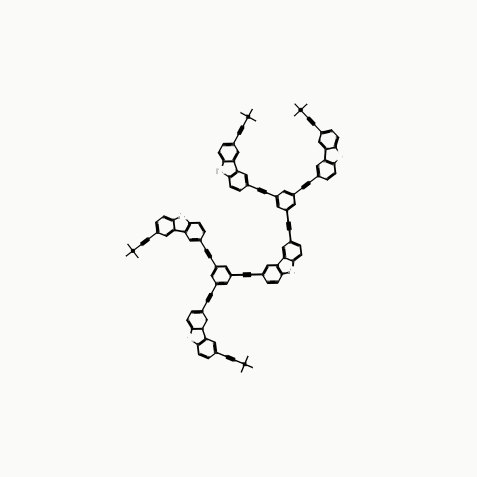 CC(C)(C)C#Cc1ccc2c(c1)C1CC(C#Cc3cc(C#Cc4ccc5[nH]c6ccc(C#Cc7cc(C#Cc8ccc9[nH]c%10ccc(C#CC(C)(C)C)cc%10c9c8)cc(C#Cc8ccc9[nH]c%10ccc(C#CC(C)(C)C)cc%10c9c8)c7)cc6c5c4)cc(C#Cc4ccc5[nH]c6ccc(C#CC(C)(C)C)cc6c5c4)c3)=CC=C1N2